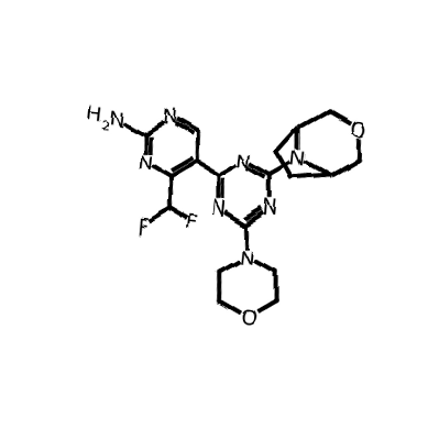 Nc1ncc(-c2nc(N3CCOCC3)nc(N3C4CCC3COC4)n2)c(C(F)F)n1